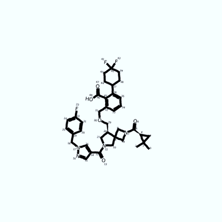 CC1(C)C[C@@H]1C(=O)N1CC2(CN(C(=O)c3cnn(Cc4ccc(F)cc4)c3)C[C@H]2COCc2cccc(C3CCC(F)(F)CC3)c2C(=O)O)C1